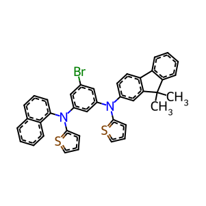 CC1(C)c2ccccc2-c2ccc(N(c3cc(Br)cc(N(c4cccs4)c4cccc5ccccc45)c3)c3cccs3)cc21